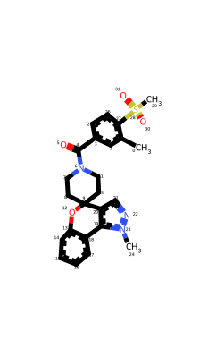 Cc1cc(C(=O)N2CCC3(CC2)Oc2ccccc2-c2c3cnn2C)ccc1S(C)(=O)=O